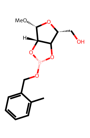 CO[C@@H]1O[C@H](CO)C2OB(OCc3ccccc3C)O[C@@H]21